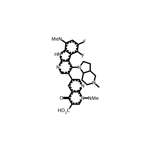 CNc1cc(F)c(F)c2c1[nH]c1ncc(-c3cnc4c(c3)c(=O)c(C(=O)O)cn4NC)c(N3CCC4CN(C)CCC43)c12